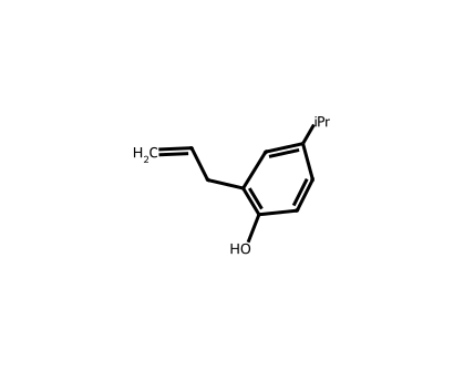 C=CCc1cc(C(C)C)ccc1O